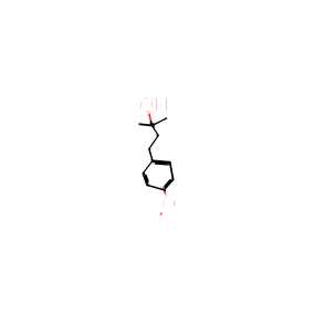 COc1ccc(CCC(C)(C)O)cc1